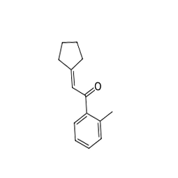 Cc1ccccc1C(=O)C=C1CCCC1